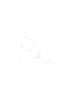 CC(N)c1cc2cc(F)ccc2o1.Cl